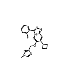 Cn1cnc(COc2nn3c(-c4ccccc4F)nnc3cc2C2CCC2)n1